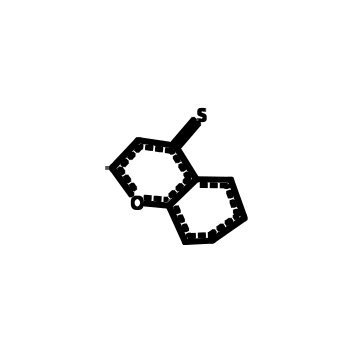 S=c1c[c]oc2ccccc12